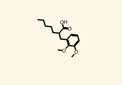 CCCCCC(Cc1cccc(OC)c1OC)C(=O)O